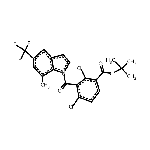 Cc1cc(C(F)(F)F)cc2ccn(C(=O)c3c(Cl)ccc(C(=O)OC(C)(C)C)c3Cl)c12